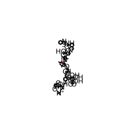 Cc1c(-c2ccc(N3CCc4cccc(C(=O)Nc5nc6ccccc6s5)c4C3)nc2C(=O)O)cnn1CC12CC3(C)CC(C)(C1)CC(OCCN(C)C(=O)OCc1ccc(CCCN(CCC[N+](C)(C)C)C(=O)CN4C(=O)C=CC4=O)cc1O[C@@H]1O[C@H](C(=O)O)[C@@H](O)[C@H](O)[C@H]1O)(C3)C2